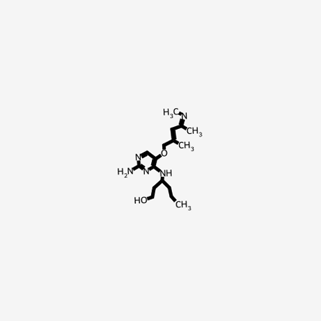 CCCC(CCO)Nc1nc(N)ncc1OC/C(C)=C/C(C)=N\C